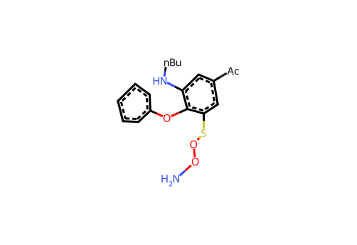 CCCCNc1cc(C(C)=O)cc(SOON)c1Oc1ccccc1